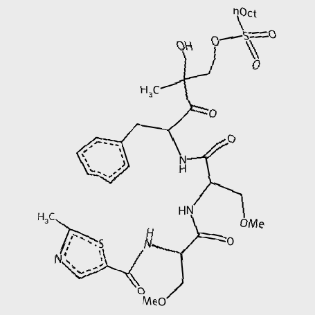 CCCCCCCCS(=O)(=O)OCC(C)(O)C(=O)C(Cc1ccccc1)NC(=O)C(COC)NC(=O)C(COC)NC(=O)c1cnc(C)s1